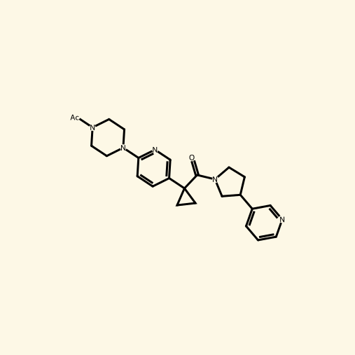 CC(=O)N1CCN(c2ccc(C3(C(=O)N4CCC(c5cccnc5)C4)CC3)cn2)CC1